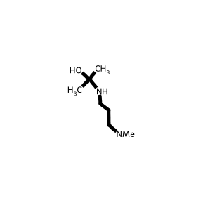 CNCCCNC(C)(C)O